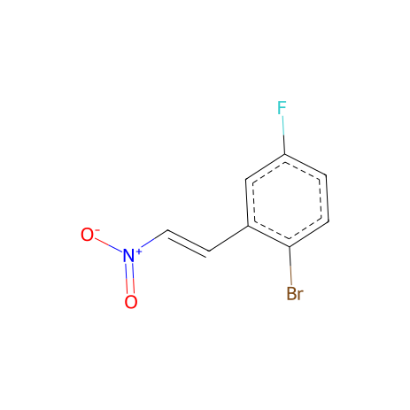 O=[N+]([O-])C=Cc1cc(F)ccc1Br